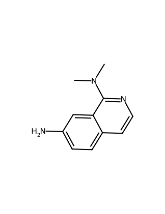 CN(C)c1nccc2ccc(N)cc12